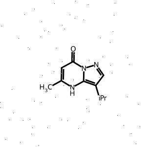 Cc1cc(=O)n2ncc(C(C)C)c2[nH]1